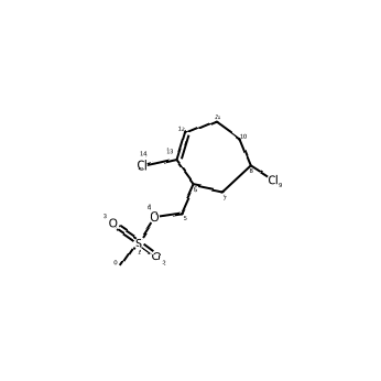 CS(=O)(=O)OCC1CC(Cl)CCC=C1Cl